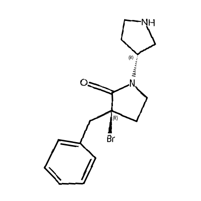 O=C1N([C@@H]2CCNC2)CC[C@]1(Br)Cc1ccccc1